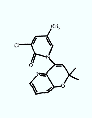 CC1(C)C=C(n2cc(N)cc(Cl)c2=O)c2ncccc2O1